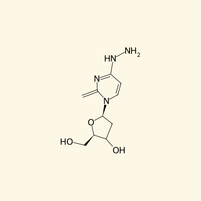 C=C1N=C(NN)C=CN1[C@H]1CC(O)[C@@H](CO)O1